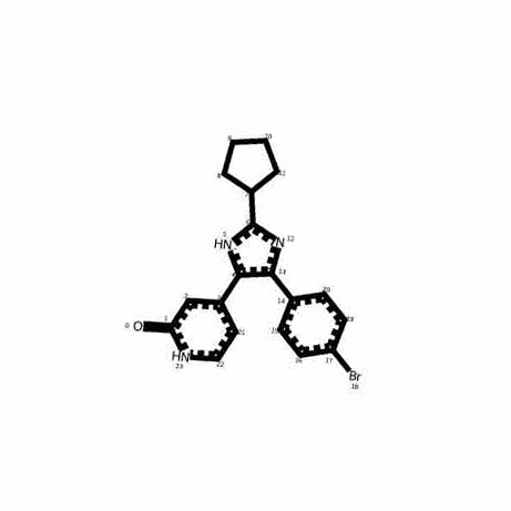 O=c1cc(-c2[nH]c(C3CCCC3)nc2-c2ccc(Br)cc2)cc[nH]1